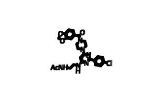 CC(=O)NCCNc1cc(N2CCN(C(=O)c3ccc4c(c3)OCO4)CC2)nc(-c2ccc(Cl)cc2)n1